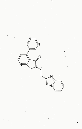 O=C1c2c(-c3cncnc3)ccnc2CN1CCc1cn2ccccc2n1